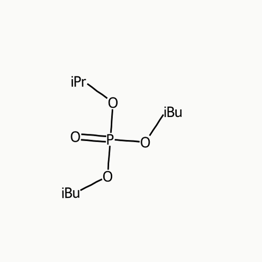 CCC(C)OP(=O)(OC(C)C)OC(C)CC